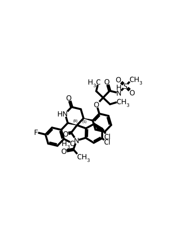 CCC(CC)(Oc1ccc(Cl)cc1[C@@H]1CC(=O)NC(c2cc(F)ccc2C)[C@@]12C(=O)N(C(C)=O)c1cc(Cl)ccc12)C(=O)NS(C)(=O)=O